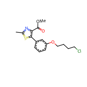 COC(=O)c1nc(C)sc1-c1cccc(OCCCCCl)c1